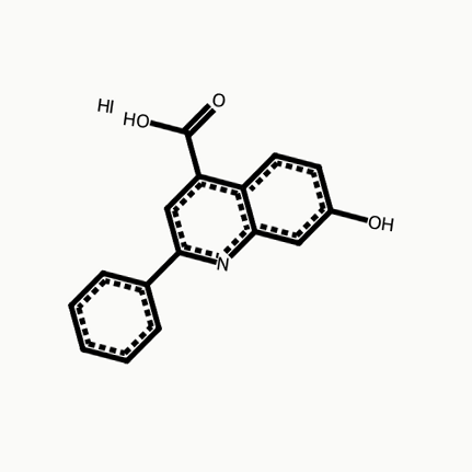 I.O=C(O)c1cc(-c2ccccc2)nc2cc(O)ccc12